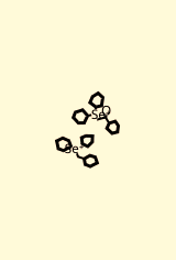 O=C(C[Se+](c1ccccc1)c1ccccc1)c1ccccc1.c1ccc(C[Se+](c2ccccc2)c2ccccc2)cc1